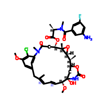 COc1cc2cc(c1Cl)N(C)C(=O)C[C@H](OC(=O)[C@H](C)N(C)C(=O)c1cc(N)cc(F)c1)[C@]1(C)O[C@H]1[C@H](C)[C@@H]1C[C@@](O)(NC(=O)O1)[C@H](OC)/C=C/C=C(\C)C2